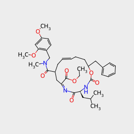 CCOC(=O)/C1=N\C(=O)[C@H](CC(C)C)NC(=O)OC(Cc2ccccc2)CC/C=C/CC(C(=O)N(C)Cc2ccc(OC)cc2OC)C1